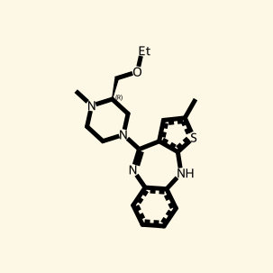 CCOC[C@H]1CN(C2=Nc3ccccc3Nc3sc(C)cc32)CCN1C